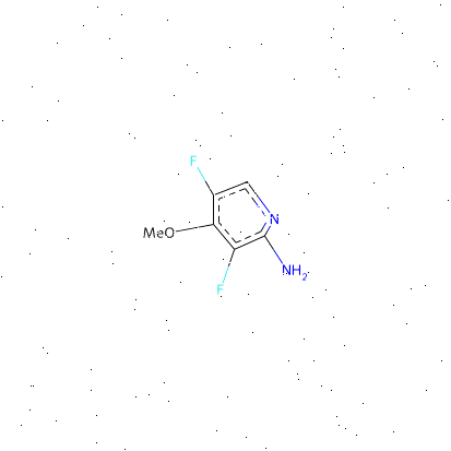 COc1c(F)cnc(N)c1F